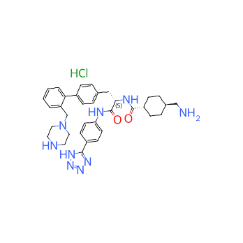 Cl.NC[C@H]1CC[C@H](C(=O)N[C@@H](Cc2ccc(-c3ccccc3CN3CCNCC3)cc2)C(=O)Nc2ccc(-c3nnn[nH]3)cc2)CC1